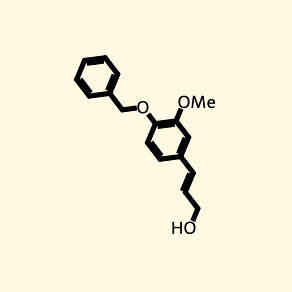 COc1cc(C=CCO)ccc1OCc1ccccc1